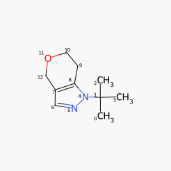 CC(C)(C)n1ncc2c1CCOC2